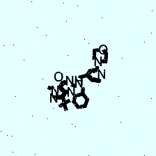 Cn1nc(C(C)(C)C)c2nc(N(Cc3ccnc(N4CCOCC4)c3)CC3CCCCC3)[nH]c(=O)c21